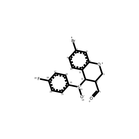 O=CC1COc2cc(Br)ccc2C1[S+]([O-])c1ccc(F)cc1